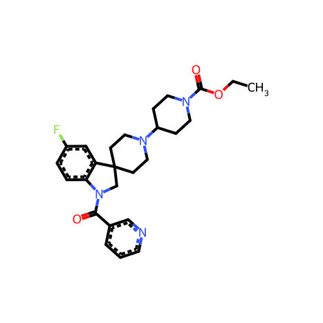 CCOC(=O)N1CCC(N2CCC3(CC2)CN(C(=O)c2cccnc2)c2ccc(F)cc23)CC1